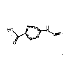 [CH]=NNc1ccc(C(=O)O)cc1